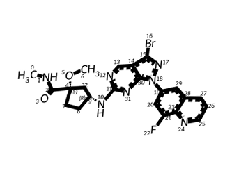 CNC(=O)[C@]1(OC)CC[C@@H](Nc2ncc3c(Br)nn(-c4cc(F)c5ncccc5c4)c3n2)C1